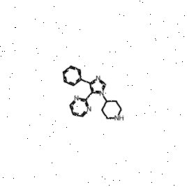 c1ccc(-c2ncn(C3CCNCC3)c2-c2ncccn2)cc1